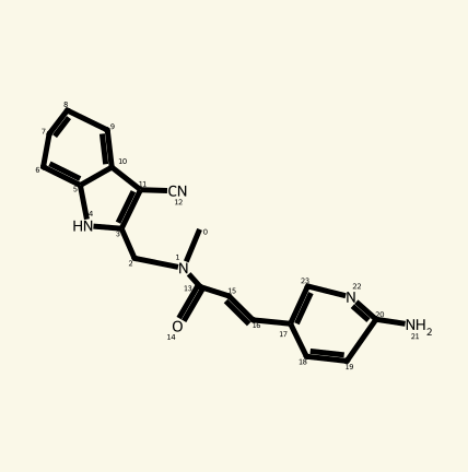 CN(Cc1[nH]c2ccccc2c1C#N)C(=O)C=Cc1ccc(N)nc1